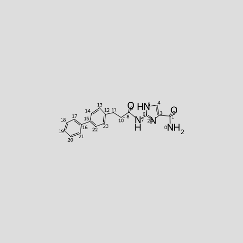 NC(=O)c1c[nH]c(NC(=O)[CH]Cc2ccc(-c3ccccc3)cc2)n1